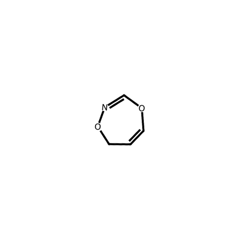 C1=COC=NOC1